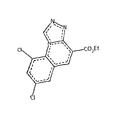 CCOC(=O)c1cc2cc(Cl)cc(Cl)c2n2cnnc12